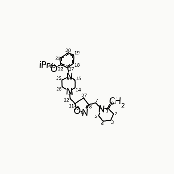 C=C1CCCCN1CC1=NOC(CN2CCN(c3ccccc3OC(C)C)CC2)C1